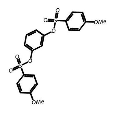 COc1ccc(S(=O)(=O)Oc2cccc(OS(=O)(=O)c3ccc(OC)cc3)c2)cc1